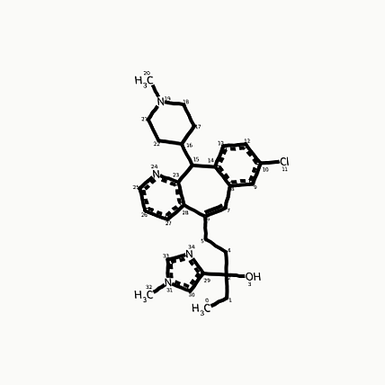 CCC(O)(CCC1=Cc2cc(Cl)ccc2C(C2CCN(C)CC2)c2ncccc21)c1cn(C)cn1